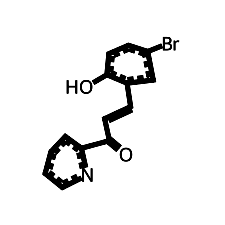 O=C(C=Cc1cc(Br)ccc1O)c1ccccn1